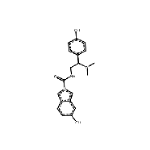 CN(C)C(CNC(=O)n1cc2ccc(O)cc2c1)c1ccc(O)cc1